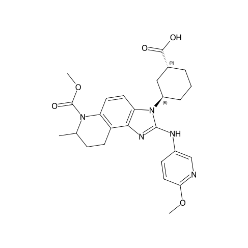 COC(=O)N1c2ccc3c(nc(Nc4ccc(OC)nc4)n3[C@@H]3CCC[C@@H](C(=O)O)C3)c2CCC1C